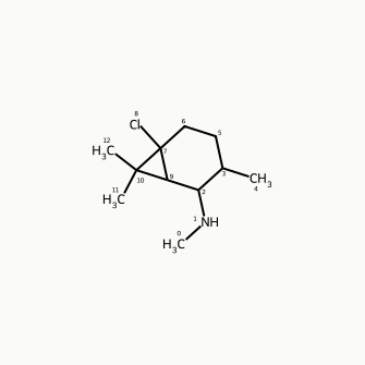 CNC1C(C)CCC2(Cl)C1C2(C)C